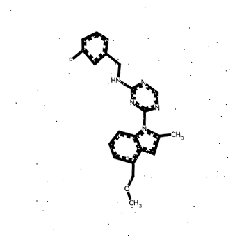 COCc1cccc2c1cc(C)n2-c1ncnc(NCc2cccc(F)c2)n1